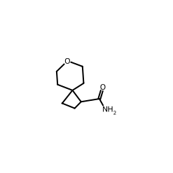 NC(=O)C1CCC12CCOCC2